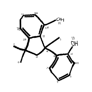 CC1(C)CC(C)(c2ccccc2O)c2c(O)cccc21